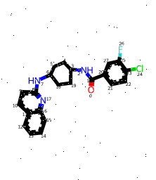 O=C(NC1CCC(Nc2ccc3ccccc3n2)CC1)c1ccc(Cl)c(F)c1